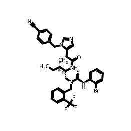 CC[C@H](C)[C@@H](CN(Cc1ccccc1C(F)(F)F)C(=S)Nc1ccccc1Br)NC(=O)Cc1cncn1Cc1ccc(C#N)cc1